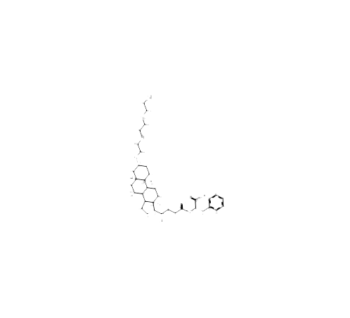 C[C@H](CCC(=O)N[C@H](Cc1ccccc1)C(=O)O)[C@H]1CCC2C3C(CC[C@@]21C)[C@@]1(C)CC[C@H](NCCNCCNCCN)C[C@H]1C[C@H]3O